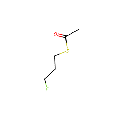 CC(=O)SCCCF